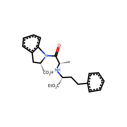 CCOC(=O)[C@@H](CCc1ccccc1)N[C@@H](C)C(=O)N1c2ccccc2C[C@H]1C(=O)O